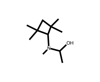 CC(O)N(C)C1C(C)(C)CC1(C)C